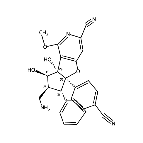 COc1nc(C#N)cc2c1[C@]1(O)[C@H](O)[C@H](CN)[C@@H](c3ccccc3)[C@]1(c1ccc(C#N)cc1)O2